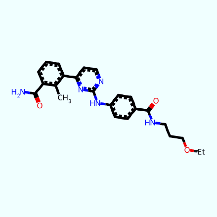 CCOCCCNC(=O)c1ccc(Nc2nccc(-c3cccc(C(N)=O)c3C)n2)cc1